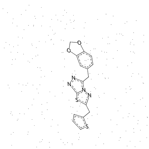 c1csc(Cc2nn3c(Cc4ccc5c(c4)OCO5)nnc3s2)c1